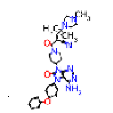 CN1CCN(C(C)(C)C=C(C#N)C(=O)N2CCC(n3c(=O)n(-c4ccc(Oc5ccccc5)cc4)c4c(N)ncnc43)CC2)CC1